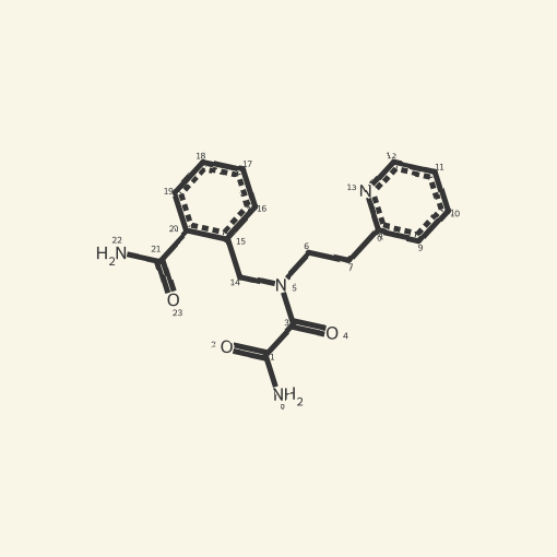 NC(=O)C(=O)N(CCc1ccccn1)Cc1ccccc1C(N)=O